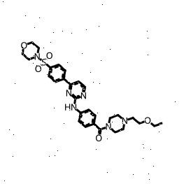 CCOCCN1CCN(C(=O)c2ccc(Nc3nccc(-c4ccc(S(=O)(=O)N5CCOCC5)cc4)n3)cc2)CC1